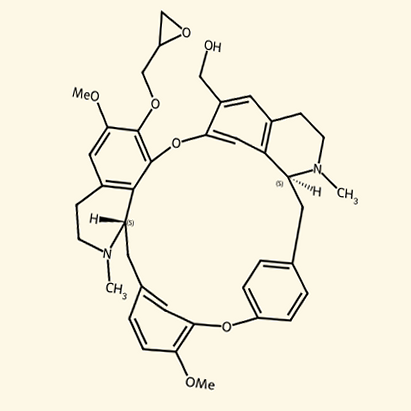 COc1ccc2cc1Oc1ccc(cc1)C[C@H]1c3cc(c(CO)cc3CCN1C)Oc1c(OCC3CO3)c(OC)cc3c1[C@H](C2)N(C)CC3